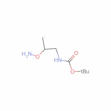 [CH2]C(CNC(=O)OC(C)(C)C)ON